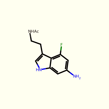 CC(=O)NCCc1c[nH]c2cc(N)cc(F)c12